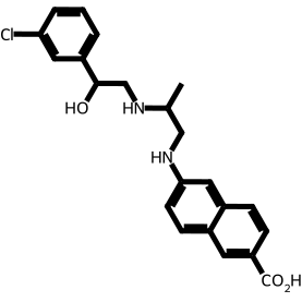 CC(CNc1ccc2cc(C(=O)O)ccc2c1)NCC(O)c1cccc(Cl)c1